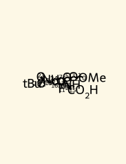 COCCOCOc1cc2c(c(F)c1NCC(=O)O)CC(CNC(=O)OC(C)(C)C)C2